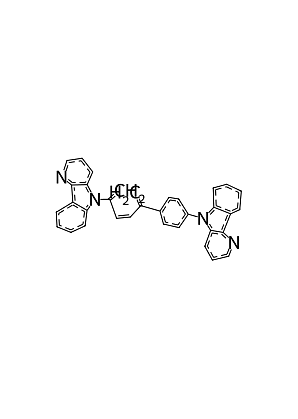 C=C(/C=C\C(=C)n1c2ccccc2c2ncccc21)c1ccc(-n2c3ccccc3c3ncccc32)cc1